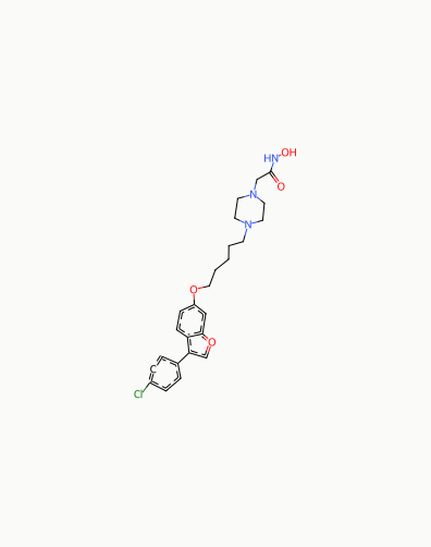 O=C(CN1CCN(CCCCCOc2ccc3c(-c4ccc(Cl)cc4)coc3c2)CC1)NO